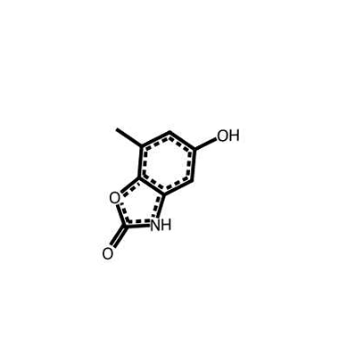 Cc1cc(O)cc2[nH]c(=O)oc12